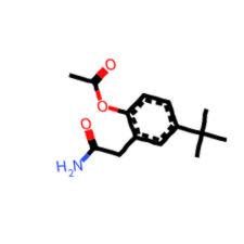 CC(=O)Oc1ccc(C(C)(C)C)cc1CC(N)=O